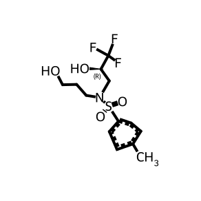 Cc1ccc(S(=O)(=O)N(CCCO)C[C@@H](O)C(F)(F)F)cc1